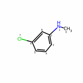 CNc1cc[c]c(Cl)c1